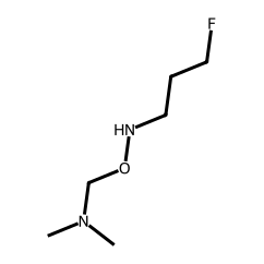 CN(C)CONCCCF